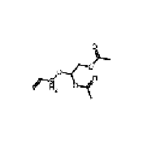 C=C[SiH2]OC(COC(C)=O)OC(C)=O